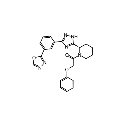 O=C(COc1ccccc1)N1CCCC[C@@H]1c1nc(-c2cccc(-c3nnco3)c2)n[nH]1